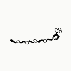 C#CCOCCOCCOCCOCCN1CC[C@H](O)C1